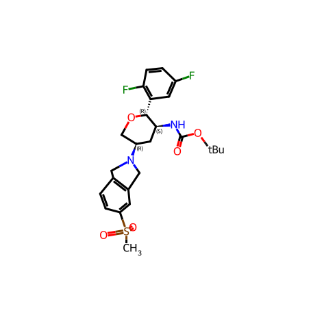 CC(C)(C)OC(=O)N[C@H]1C[C@@H](N2Cc3ccc(S(C)(=O)=O)cc3C2)CO[C@@H]1c1cc(F)ccc1F